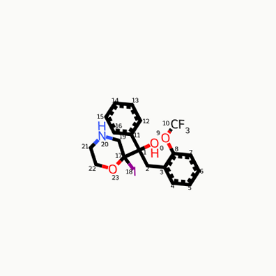 OC(Cc1ccccc1OC(F)(F)F)(c1ccccc1)C1(I)CNCCO1